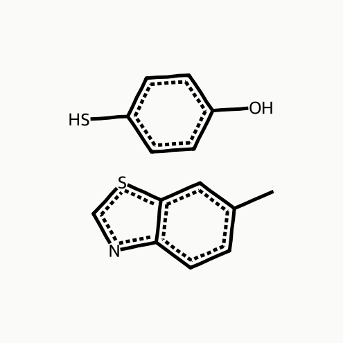 Cc1ccc2ncsc2c1.Oc1ccc(S)cc1